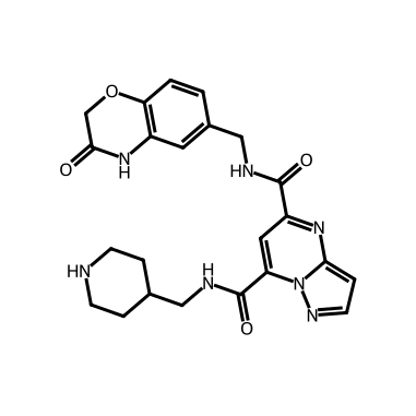 O=C1COc2ccc(CNC(=O)c3cc(C(=O)NCC4CCNCC4)n4nccc4n3)cc2N1